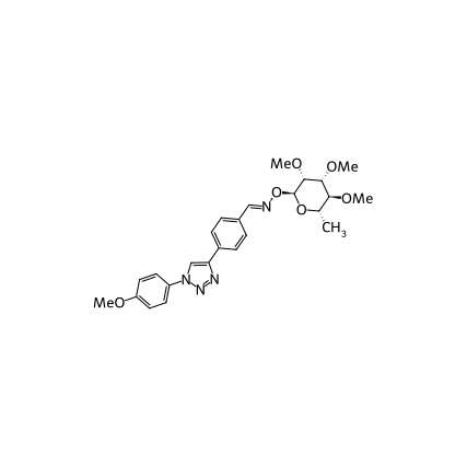 COc1ccc(-n2cc(-c3ccc(/C=N/O[C@@H]4O[C@@H](C)[C@H](OC)[C@@H](OC)[C@H]4OC)cc3)nn2)cc1